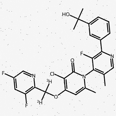 [2H]C([2H])(Oc1cc(C)n(-c2c(C)cnc(-c3cccc(C(C)(C)O)c3)c2F)c(=O)c1Cl)c1ncc(F)cc1F